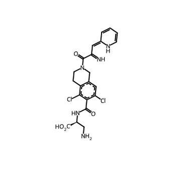 N=C(/C=C1/C=CC=CN1)C(=O)N1CCc2c(cc(Cl)c(C(=O)N[C@@H](CN)C(=O)O)c2Cl)C1